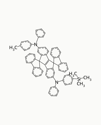 Cc1ccc(N(c2ccccc2)c2ccc3c(c2)C2(C4=C3C3(c5cc(N(c6ccccc6)c6ccc([Si](C)(C)C)cc6)ccc54)c4ccccc4-c4ccccc43)c3ccccc3-c3ccccc32)cc1